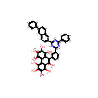 Oc1c(O)c(O)c2c(c1O)c(O)c(-c1cccc(-c3nc(-c4ccccc4)nc(-c4ccc5cc(-c6ccccc6)ccc5c4)n3)c1)c1c(O)c(O)c(O)c(O)c12